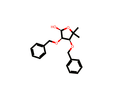 CC1(C)O[C@H](O)[C@H](OCc2ccccc2)[C@@H]1OCc1ccccc1